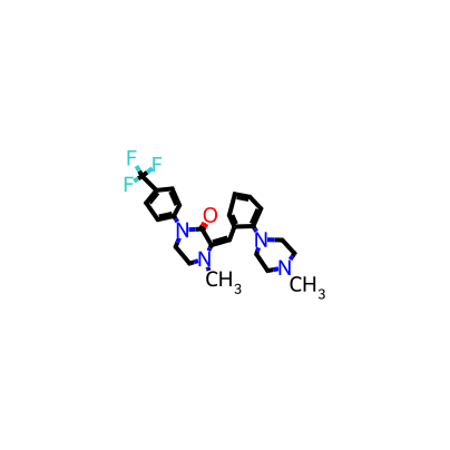 CN1CCN(c2ccccc2C=C2C(=O)N(c3ccc(C(F)(F)F)cc3)CCN2C)CC1